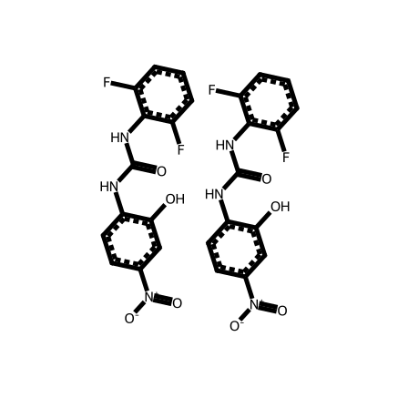 O=C(Nc1ccc([N+](=O)[O-])cc1O)Nc1c(F)cccc1F.O=C(Nc1ccc([N+](=O)[O-])cc1O)Nc1c(F)cccc1F